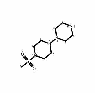 CS(=O)(=O)N1CCN(N2CCNCC2)CC1